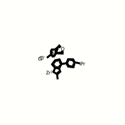 CC1=C2c3cocc3C1[Si]2(C)C.CC1=Cc2c(-c3ccc(C(C)C)cc3)cccc2[CH]1[Zr+2].[Cl-].[Cl-]